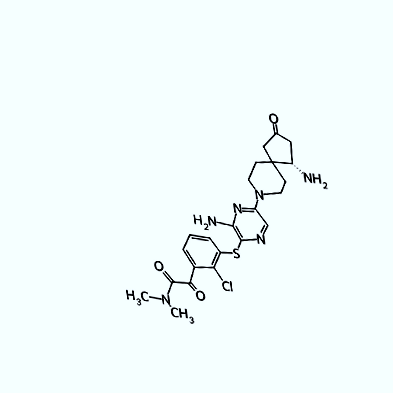 CN(C)C(=O)C(=O)c1cccc(Sc2ncc(N3CCC4(CC3)CC(=O)C[C@@H]4N)nc2N)c1Cl